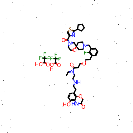 CCN(CCNCCc1ccc(O)c2c1OCC(=O)N2)C(=O)CCOCCc1cccc(CN2CCC3(CC2)CN(C(=O)c2csc(C4CCCC4)n2)CCO3)c1F.O=C(O)C(F)(F)F.O=C(O)C(F)(F)F